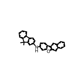 CC1(C)c2ccccc2-c2ccc(Nc3ccc4c(c3)oc3cc5ccccc5cc34)cc21